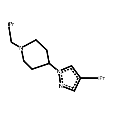 CC(C)CN1CCC(n2cc(C(C)C)cn2)CC1